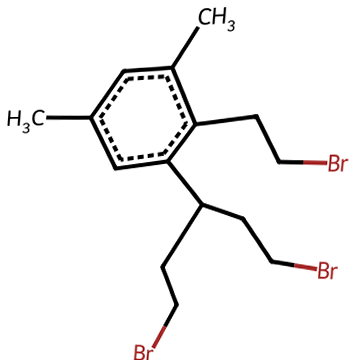 Cc1cc(C)c(CCBr)c(C(CCBr)CCBr)c1